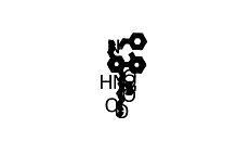 COC(=O)CCC(NC(=O)c1ccc(CN(C)CCC2CCCCC2)cc1-c1ccccc1C)S(C)(=O)=O